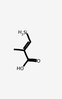 C/C(=C\[SiH3])C(=O)O